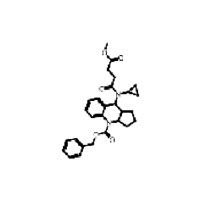 COC(=O)CCC(=O)N(C1CC1)C1c2ccccc2N(C(=O)OCc2ccccc2)C2CCCC21